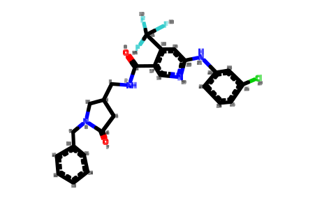 O=C(NCC1CC(=O)N(Cc2ccccc2)C1)c1cnc(Nc2cccc(Cl)c2)cc1C(F)(F)F